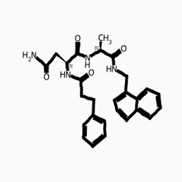 C[C@H](NC(=O)[C@H](CC(N)=O)NC(=O)CCc1ccccc1)C(=O)NCc1cccc2ccccc12